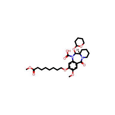 COC(=O)CCCCCCCOc1cc2c(cc1OC)C(=O)N1CCCC[C@H]1C(OC1CCCCO1)N2C(=O)O